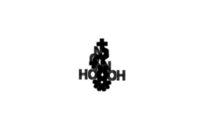 CC(C)(C)c1ccc2c(n1)OC(C)(C)n1c-2nc2c(O)c3c(c(O)c21)C(C)(C)C(C)(C)C3(C)C